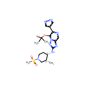 [2H]C(C)(C)Oc1c(-c2cn[nH]c2)ncc2nc(N[C@H]3CCN(S(C)(=O)=O)C[C@H]3C)nn12